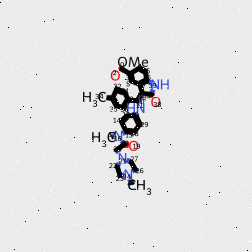 COC(=O)c1ccc2c(c1)/C(=C(/Nc1ccc(N(C)C(=O)CN3CCN(C)CC3)cc1)c1ccc(C)cc1)C(=O)N2